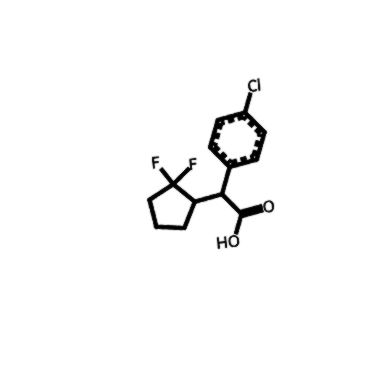 O=C(O)C(c1ccc(Cl)cc1)C1CCCC1(F)F